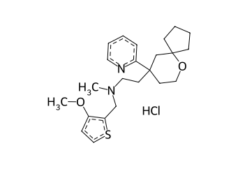 COc1ccsc1CN(C)CCC1(c2ccccn2)CCOC2(CCCC2)C1.Cl